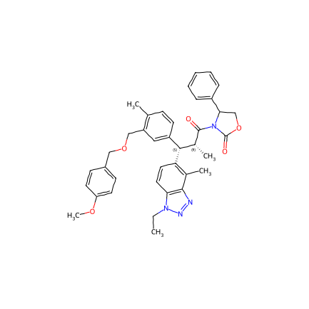 CCn1nnc2c(C)c([C@H](c3ccc(C)c(COCc4ccc(OC)cc4)c3)[C@@H](C)C(=O)N3C(=O)OCC3c3ccccc3)ccc21